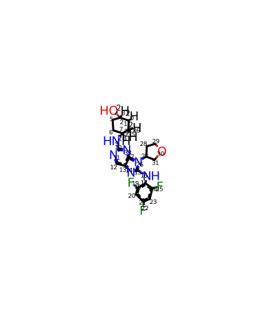 [2H]C1C([2H])(O)CCC([2H])(Nc2ncc3nc(Nc4c(F)cc(F)cc4F)n(C4CCOC4)c3n2)C1([2H])[2H]